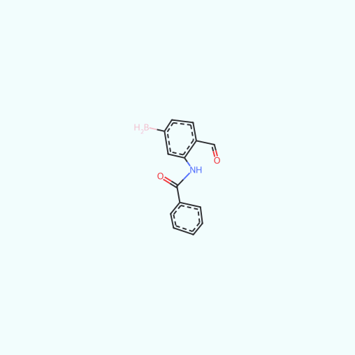 Bc1ccc(C=O)c(NC(=O)c2ccccc2)c1